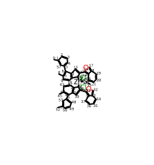 Cc1cccc(-c2c(C)ccc3c2C=C(c2occ4ccccc24)[CH]3[Zr]([Cl])([Cl])([CH]2C(c3occ4ccccc34)=Cc3c2ccc(C)c3-c2cccc(C)c2)=[Si](C)C)c1